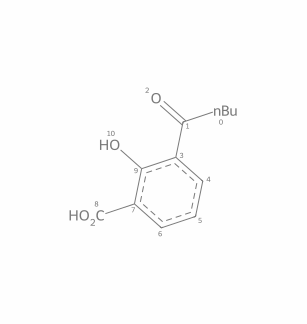 CCCCC(=O)c1cccc(C(=O)O)c1O